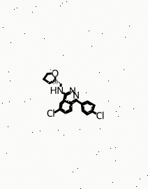 Clc1ccc(-c2nnc(NC[C@@H]3CCCO3)c3cc(Cl)ccc23)cc1